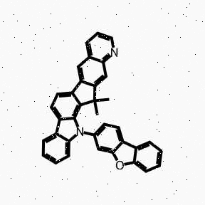 CC1(C)c2cc3ncccc3cc2-c2ccc3c4ccccc4n(-c4ccc5c(c4)oc4ccccc45)c3c21